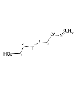 C=NOCCCCCO